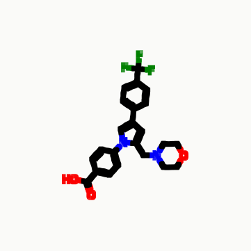 O=C(O)c1ccc(-n2cc(-c3ccc(C(F)(F)F)cc3)cc2CN2CCOCC2)cc1